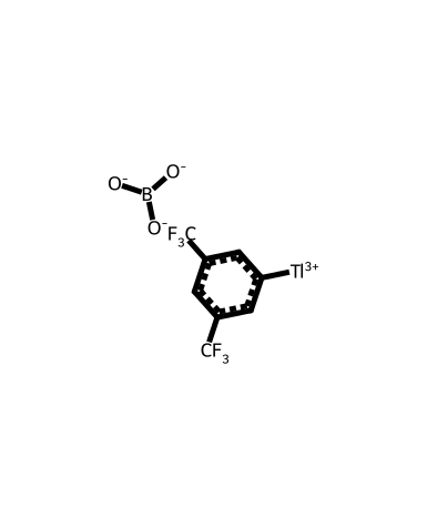 FC(F)(F)c1c[c]([Tl+3])cc(C(F)(F)F)c1.[O-]B([O-])[O-]